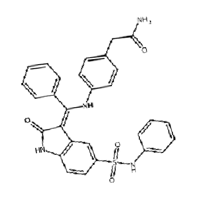 NC(=O)Cc1ccc(NC(=C2C(=O)Nc3ccc(S(=O)(=O)Nc4ccccc4)cc32)c2ccccc2)cc1